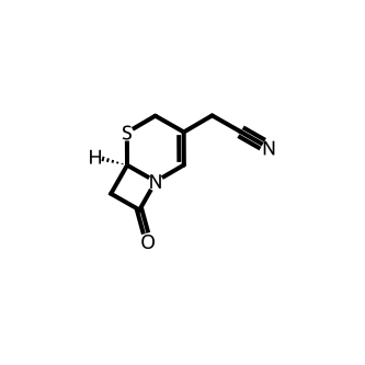 N#CCC1=CN2C(=O)C[C@H]2SC1